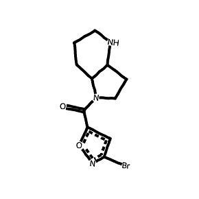 O=C(c1cc(Br)no1)N1CCC2NCCCC21